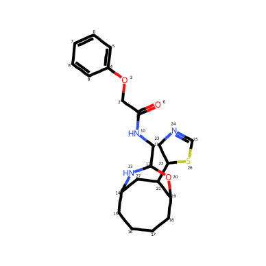 O=C(COc1ccccc1)NCC1NC2CCCCC(O1)C(C1CN=CS1)C2